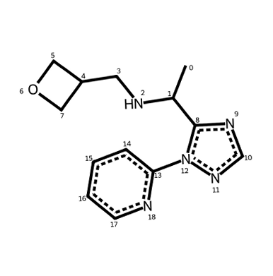 CC(NCC1COC1)c1ncnn1-c1ccccn1